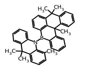 Cc1cccc2c1N(B1c3ccccc3C3(C)c4ccccc4C(C)(C)c4cccc1c43)c1ccccc1C2(C)C